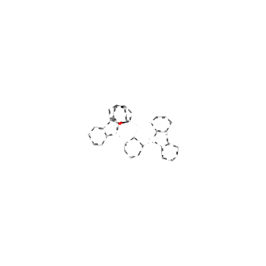 c1ccc(Sc2c(-n3c4ccccc4c4ccccc43)cccc2-n2c3ccccc3c3ccccc32)cc1